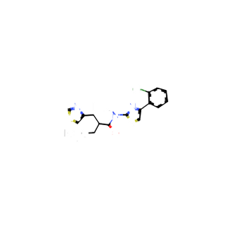 CN(C(=O)C(CC(=O)O)Cc1cscn1)c1nc(-c2ccccc2Cl)cs1